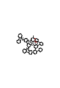 Cc1cc2c3c(c1)-n1c4ccc(-n5c6ccccc6c6ccccc65)cc4c4cc(-n5c6ccccc6c6ccccc65)cc(c41)B3c1cc(-c3ccccc3-c3ccccc3)cc(-c3ccccc3-c3ccccc3)c1O2